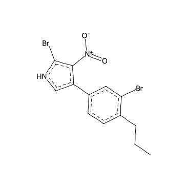 CCCc1ccc(-c2c[nH]c(Br)c2[N+](=O)[O-])cc1Br